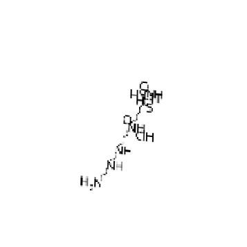 Cl.NCCCCNCCCNCCCCCNC(=O)CCCC[C@@H]1SC[C@@H]2NC(=O)N[C@@H]21